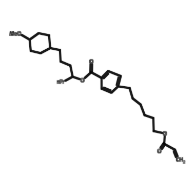 C=CC(=O)OCCCCCCc1ccc(C(=O)OC(CCC)CCCC2CCC(OC)CC2)cc1